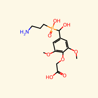 COc1cc(C(O)P(=O)(O)CCCN)cc(OC)c1OCC(=O)O